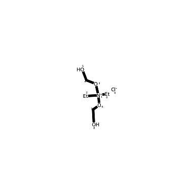 CC[N+](CC)(OCO)OCO.[Cl-]